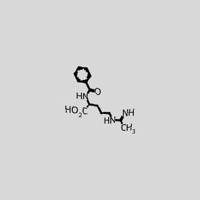 CC(=N)NCCC[C@H](NC(=O)c1ccccc1)C(=O)O